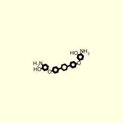 Nc1ccc(Oc2ccc(C3CCC(c4ccc(Oc5ccc(N)c(O)c5)cc4)CC3)cc2)cc1O